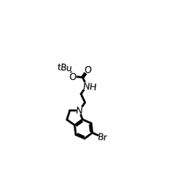 CC(C)(C)OC(=O)NCCN1CCc2ccc(Br)cc21